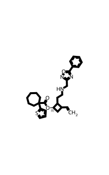 C=CC1C[C@H](OC(=O)C2(c3cccs3)CCCCCC2)C1CCNCc1noc(-c2ccccc2)n1